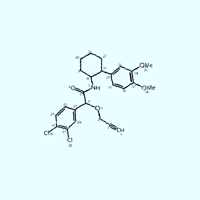 C#CCOC(C(=O)NC1CCCCC1c1ccc(OC)c(OC)c1)c1ccc(Cl)c(Cl)c1